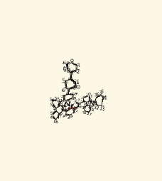 c1ccc(-c2ccc(-c3ccc(N(c4cccc(-c5cccc6c5c5ccccc5n6-c5ccccc5)c4)c4c(-c5ccccc5)c5ccccc5c5ccccc45)cc3)cc2)cc1